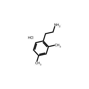 Cc1ccc(CCN)c(C)c1.Cl